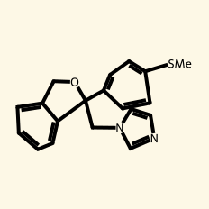 CSc1ccc(C2(Cn3ccnc3)OCc3ccccc32)cc1